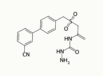 C=C(CS(=O)(=O)Cc1ccc(-c2cccc(C#N)c2)cc1)NC(=O)NN